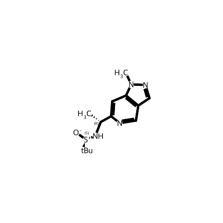 C[C@@H](N[S@+]([O-])C(C)(C)C)c1cc2c(cn1)cnn2C